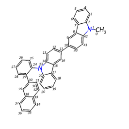 Cn1c2ccccc2c2cc(-c3ccc4c(c3)c3ccccc3n4-c3ccccc3-c3ccc4ccccc4c3)ccc21